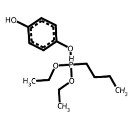 CCCC[PH](OCC)(OCC)Oc1ccc(O)cc1